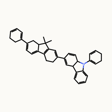 CC1(C)C2=C(CCC(C3=CC4c5ccccc5N(C5=CCCC=C5)C4C=C3)=C2)C2=CC=C(C3=CC=CCC3)CC21